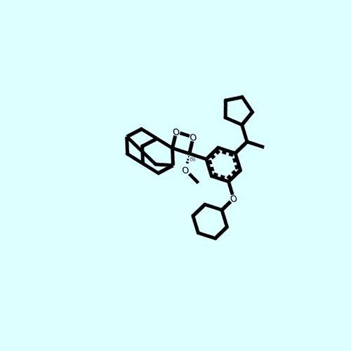 CO[C@@]1(c2cc(OC3CCCCC3)cc(C(C)C3CCCC3)c2)OOC12C1CC3CC(C1)CC2C3